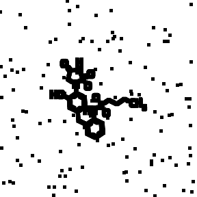 CCCCS(=O)(=O)Nc1ccccc1Cc1ccc(N2CC(=O)NS2(=O)=O)c(O)c1